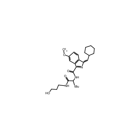 CC(C)(C)C(NC(=O)C1=N/C(=C/C2CCCCC2)c2ccc(OC(F)(F)F)cc21)C(=O)NCCCO